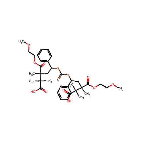 COCCOC(=O)C(C)(CC(SC(=S)SC(CC(C)(C(=O)OCCOC)C(C)(C)C(=O)O)c1ccccc1)c1ccccc1)C(C)(C)C(=O)O